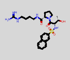 C[C@H](O)[C@H](NS(=O)(=O)c1ccc2ccccc2c1)C(=O)N1CCC[C@H]1C(=O)NCCCCNC(=N)N